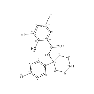 O=C(OC1(c2ccc(Cl)cc2)CCNCC1)c1cc(I)cc(I)c1O